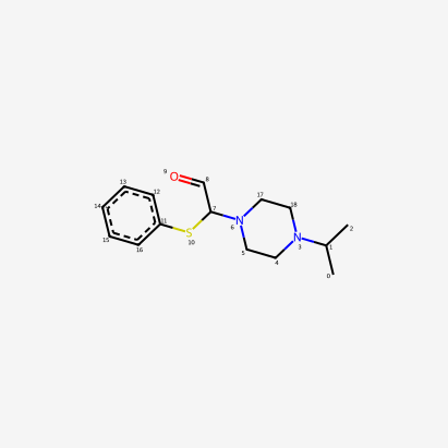 CC(C)N1CCN(C(C=O)Sc2cc[c]cc2)CC1